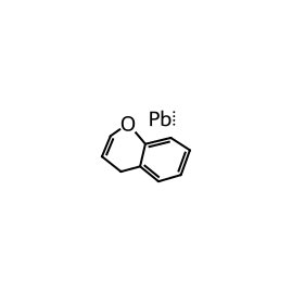 C1=COc2ccccc2C1.[Pb]